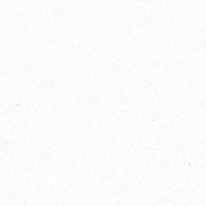 CCc1cc([N+](=O)[O-])c([PH](=O)OCC(=O)OC)cc1Oc1c(Cl)cc(C(F)(F)F)cc1Cl